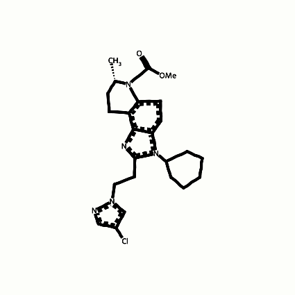 COC(=O)N1c2ccc3c(nc(CCn4cc(Cl)cn4)n3C3CCCCC3)c2CC[C@@H]1C